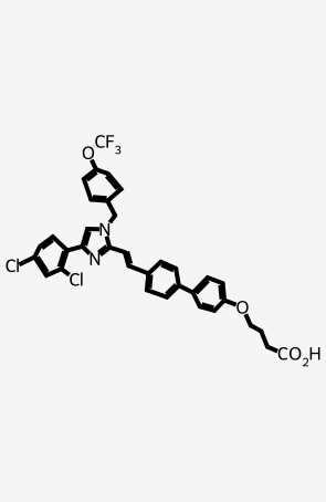 O=C(O)CCCOc1ccc(-c2ccc(C=Cc3nc(-c4ccc(Cl)cc4Cl)cn3Cc3ccc(OC(F)(F)F)cc3)cc2)cc1